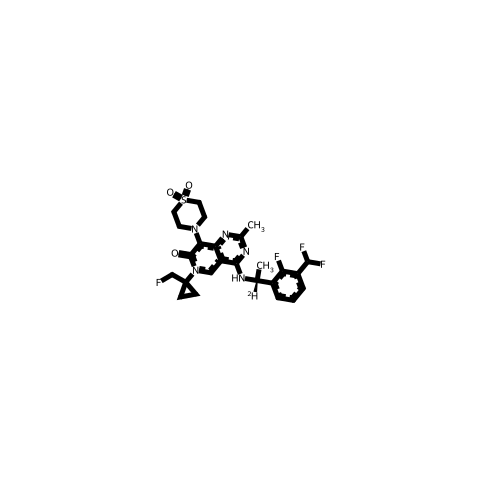 [2H][C@](C)(Nc1nc(C)nc2c(N3CCS(=O)(=O)CC3)c(=O)n(C3(CF)CC3)cc12)c1cccc(C(F)F)c1F